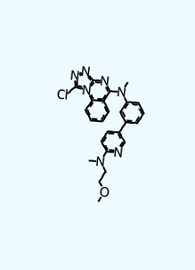 COCCN(C)c1ccc(-c2cccc(N(C)c3nc4nnc(Cl)n4c4ccccc34)c2)cn1